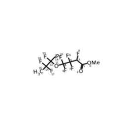 COC(=O)C(F)C(F)(F)C(F)(F)OC(F)(C(C)C)C(C)(F)F